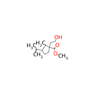 C=C(C)C1CCC(CCO)(C(=O)OC)C1=C